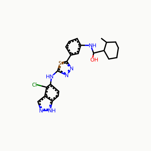 CC1CCCCC1C(O)Nc1cccc(-c2nnc(Nc3ccc4[nH]ncc4c3Cl)s2)c1